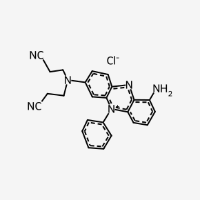 N#CCCN(CCC#N)c1ccc2nc3c(N)cccc3[n+](-c3ccccc3)c2c1.[Cl-]